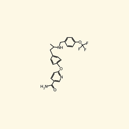 CC(Cc1ccc(Oc2ccc(C(N)=O)cn2)cc1)NCc1ccc(OC(F)(F)F)cc1